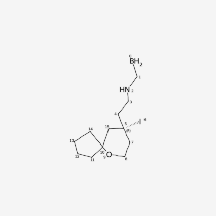 BCNCC[C@@]1(I)CCOC2(CCCC2)C1